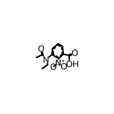 CCN(C(C)=O)c1cccc(C(=O)O)c1[N+](=O)[O-]